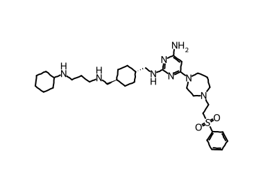 Nc1cc(N2CCCN(CCS(=O)(=O)c3ccccc3)CC2)nc(NC[C@H]2CC[C@H](CNCCCNC3CCCCC3)CC2)n1